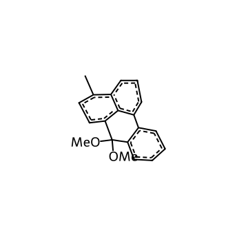 COC1(OC)c2ccccc2-c2cccc3c(C)ccc1c23